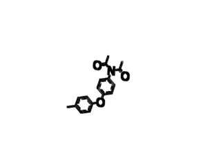 CC(=O)N(C(C)=O)c1ccc(Oc2ccc(C)cc2)cc1